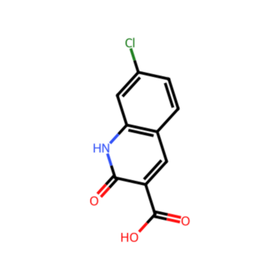 O=C(O)c1cc2ccc(Cl)cc2[nH]c1=O